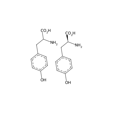 NC(Cc1ccc(O)cc1)C(=O)O.N[C@@H](Cc1ccc(O)cc1)C(=O)O